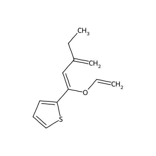 C=CO/C(=C\C(=C)CC)c1cccs1